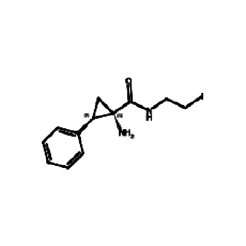 N[C@@]1(C(=O)NCCI)C[C@@H]1c1ccccc1